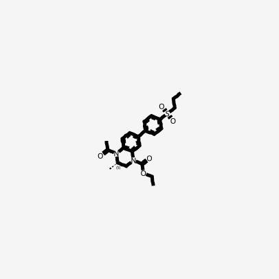 CCCS(=O)(=O)c1ccc(-c2ccc3c(c2)N(C(=O)OCC)C[C@H](C)N3C(C)=O)cc1